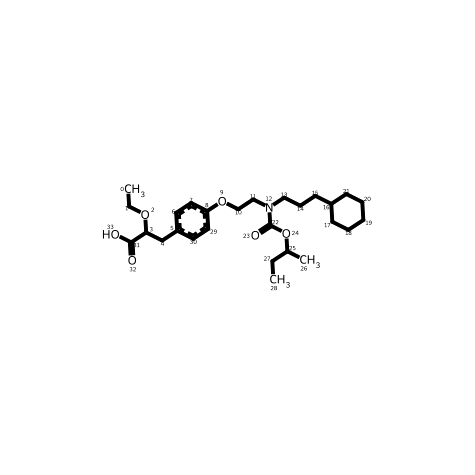 CCOC(Cc1ccc(OCCN(CCCC2CCCCC2)C(=O)OC(C)CC)cc1)C(=O)O